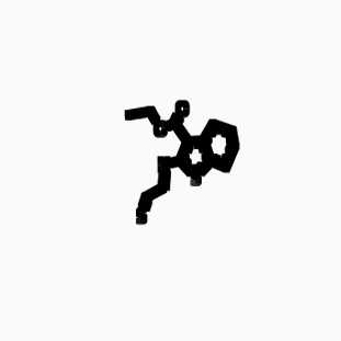 CCOC(=O)c1c(N=CC=S)sc2ccccc12